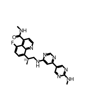 CNC(=O)c1ccnc2c([C@H](C)CNc3cc(-c4cnc(NC)nc4)ncn3)ccc(F)c12